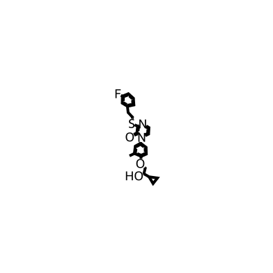 Cc1cc(-n2ccnc(SCCc3cccc(F)c3)c2=O)ccc1OCC(O)C1CC1